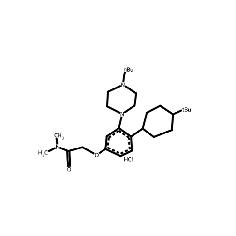 CCCCN1CCN(c2cc(OCC(=O)N(C)C)ccc2C2CCC(C(C)(C)C)CC2)CC1.Cl